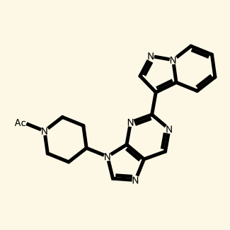 CC(=O)N1CCC(n2cnc3cnc(-c4cnn5ccccc45)nc32)CC1